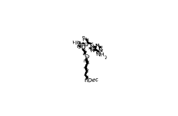 CCCCCCCCCCCCCCCCOCCCOP(=O)(O)COC(CF)Cn1cnc2c(N)ncnc21